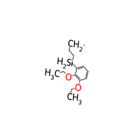 [CH2]CC[SiH2]c1cccc(OCC)c1OCC